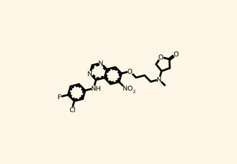 CN(CCCOc1cc2ncnc(Nc3ccc(F)c(Cl)c3)c2cc1[N+](=O)[O-])C1COC(=O)C1